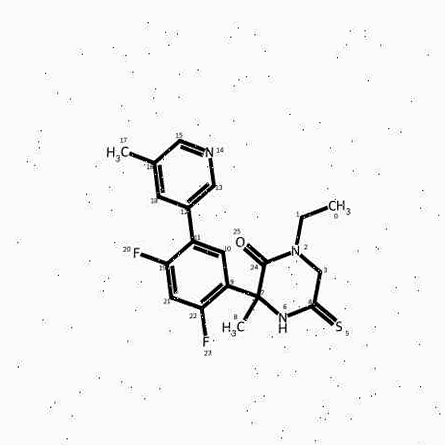 CCN1CC(=S)NC(C)(c2cc(-c3cncc(C)c3)c(F)cc2F)C1=O